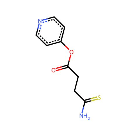 NC(=S)CCC(=O)Oc1ccncc1